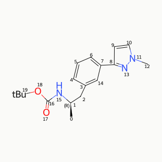 C[C@H](Cc1cccc(-c2ccn(C)n2)c1)NC(=O)OC(C)(C)C